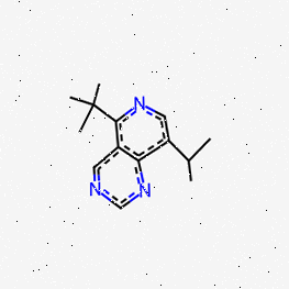 CC(C)c1cnc(C(C)(C)C)c2cncnc12